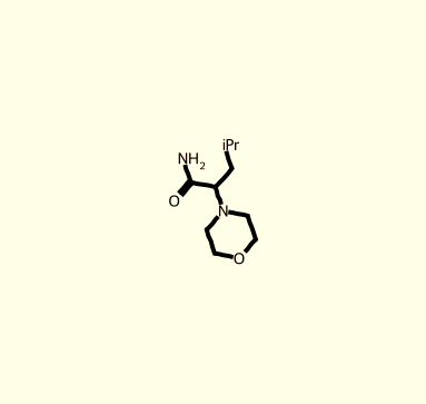 CC(C)CC(C(N)=O)N1CCOCC1